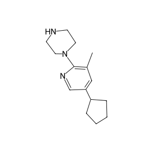 Cc1cc(C2CCCC2)cnc1N1CCNCC1